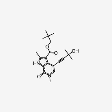 Cc1[nH]c2c(=O)n(C)cc(C#CC(C)(C)O)c2c1C(=O)OCC(C)(C)C